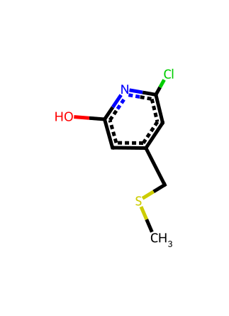 CSCc1cc(O)nc(Cl)c1